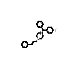 [18F]c1ccc(C(c2ccccc2)N2CCN(C/C=C/c3ccccc3)CC2)cc1